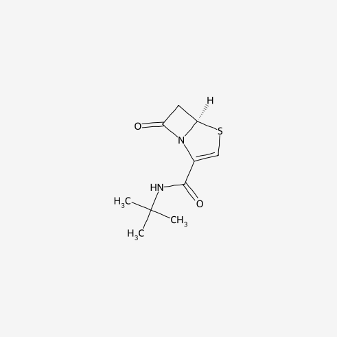 CC(C)(C)NC(=O)C1=CS[C@@H]2CC(=O)N12